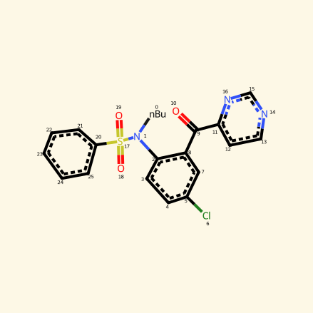 CCCCN(c1ccc(Cl)cc1C(=O)c1ccncn1)S(=O)(=O)c1ccccc1